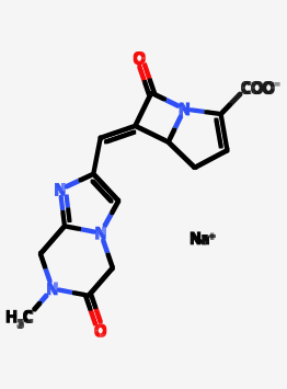 CN1Cc2nc(/C=C3/C(=O)N4C(C(=O)[O-])=CCC34)cn2CC1=O.[Na+]